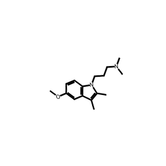 COc1ccc2c(c1)c(C)c(C)n2CCCN(C)C